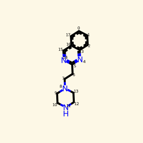 c1ccc2nc(CCN3CCNCC3)ncc2c1